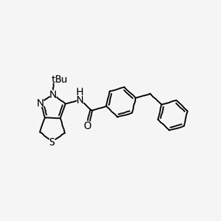 CC(C)(C)n1nc2c(c1NC(=O)c1ccc(Cc3ccccc3)cc1)CSC2